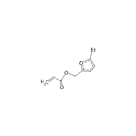 C=CC(=O)OCc1ccc(CC)o1